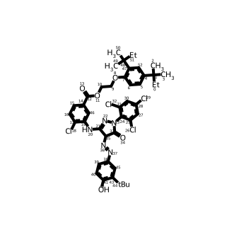 CCC(C)(C)c1ccc(OCCOC(=O)c2ccc(Cl)c(NC3=NN(c4c(Cl)cc(Cl)cc4Cl)C(=O)C3/N=N/c3ccc(O)c(C(C)(C)C)c3)c2)c(C(C)(C)CC)c1